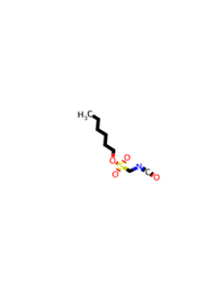 CCCCCCOS(=O)(=O)CN=C=O